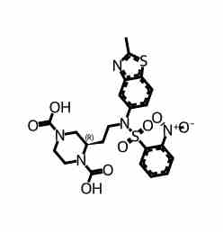 Cc1nc2cc(N(CC[C@@H]3CN(C(=O)O)CCN3C(=O)O)S(=O)(=O)c3ccccc3[N+](=O)[O-])ccc2s1